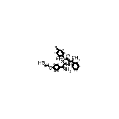 C[C@@H](c1ccccc1)[C@H](NC(=O)C(N)c1ccc(OCCO)cc1)C(=O)Nc1ccc(I)cc1F